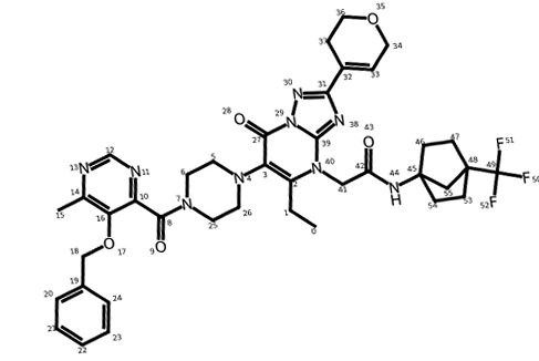 CCc1c(N2CCN(C(=O)c3ncnc(C)c3OCc3ccccc3)CC2)c(=O)n2nc(C3=CCOCC3)nc2n1CC(=O)NC12CCC(C(F)(F)F)(CC1)C2